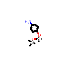 C[SiH](Oc1ccc(N)cc1)O[Si](C)(C)C